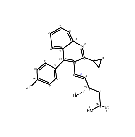 CC[C@@H](O)C[C@H](O)/C=C/c1c(C2CC2)nc2ccccc2c1-c1ccc(F)cc1